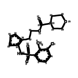 Cc1c(Cl)cccc1S(=O)(=O)Nc1cscc1CCOC(=O)N1CCOCC1